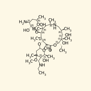 CCNC[C@]1(O)[C@H](C)OC(O[C@@H]2[C@@H](C)[C@@H](O[C@@H]3O[C@H](C)C[C@H](N)[C@H]3O)[C@](C)(O)C[C@@H](C)NC[C@@H](C)[C@H](O)[C@](C)(O)[C@H](CC)OC(=O)[C@@H]2C)C[C@@]1(C)OC